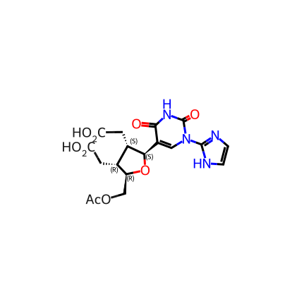 CC(=O)OC[C@@H]1O[C@H](c2cn(-c3ncc[nH]3)c(=O)[nH]c2=O)[C@@H](CC(=O)O)[C@H]1CC(=O)O